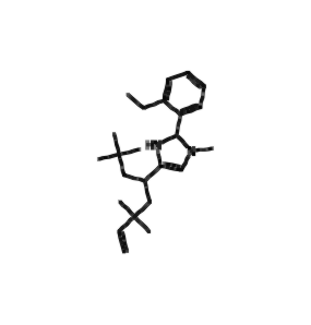 C=CC(C)(C)CC(CC(C)(C)C)C1=CN(C)C(c2ccccc2CC)N1